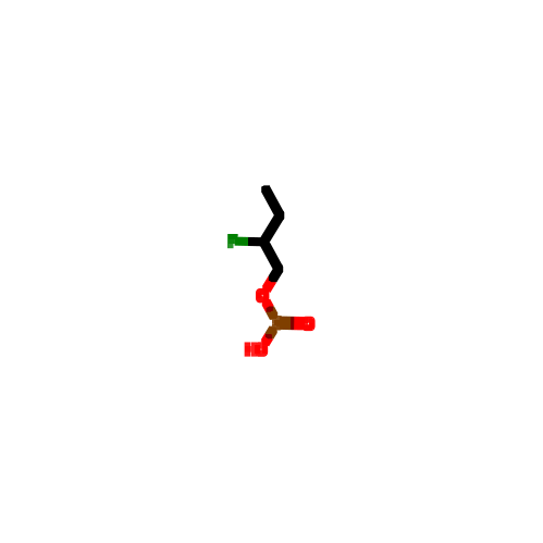 CCC(F)COS(=O)O